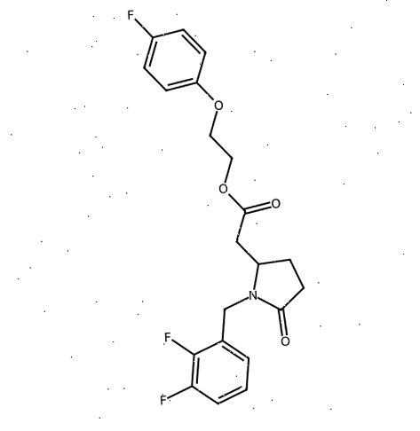 O=C(CC1CCC(=O)N1Cc1cccc(F)c1F)OCCOc1ccc(F)cc1